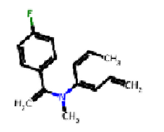 C=C/C=C(\C=C/C)N(C)C(=C)c1ccc(F)cc1